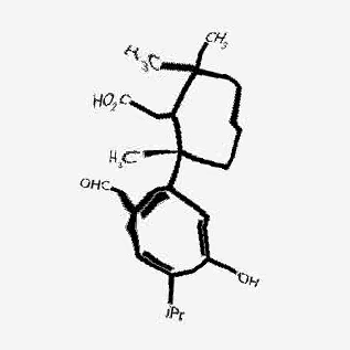 CC(C)c1cc(C=O)c([C@@]2(C)CCCC(C)(C)C2C(=O)O)cc1O